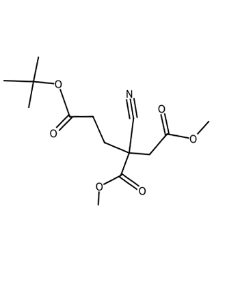 COC(=O)CC(C#N)(CCC(=O)OC(C)(C)C)C(=O)OC